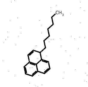 CCCCCCCC1C=Cc2cccc3cccc1c23